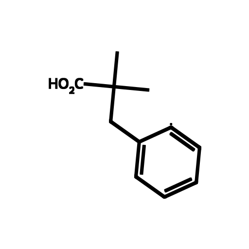 CC(C)(Cc1[c]cccc1)C(=O)O